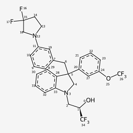 O[C@H](CN1CC(Cc2cccc(N3CCC(F)(F)C3)c2)(c2cccc(OC(F)(F)F)c2)c2ccccc21)C(F)(F)F